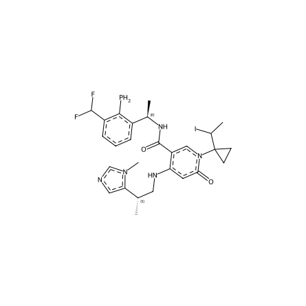 CC(I)C1(n2cc(C(=O)N[C@H](C)c3cccc(C(F)F)c3P)c(NC[C@H](C)c3cncn3C)cc2=O)CC1